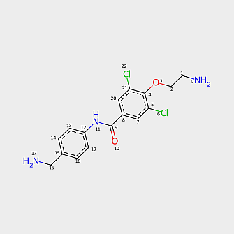 NCCOc1c(Cl)cc(C(=O)Nc2ccc(CN)cc2)cc1Cl